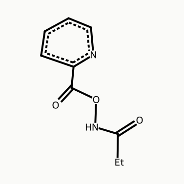 CCC(=O)NOC(=O)c1ccccn1